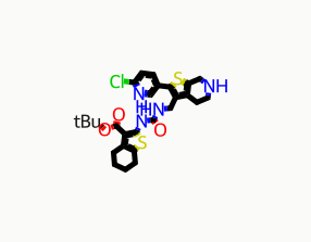 CC(C)(C)OC(=O)c1c(NC(=O)NCc2c(-c3ccc(Cl)nc3)sc3c2CCNC3)sc2c1CCCC2